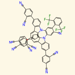 N#Cc1ccc(-c2ccc3c(c2)c2cc(-c4ccc(C#N)cc4C#N)ccc2n3-c2cc(C#N)c(-c3c(C(F)(F)F)cccc3C(F)(F)F)cc2-n2c3ccc(-c4ccc(C#N)cc4C#N)cc3c3cc(-c4ccc(C#N)cc4C#N)ccc32)c(C#N)c1